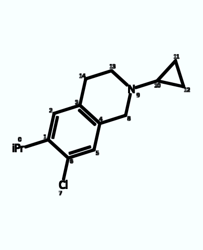 CC(C)c1cc2c(cc1Cl)CN(C1CC1)CC2